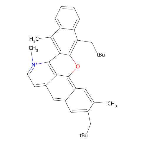 Cc1cc2c3c4c([n+](C)ccc4cc2cc1CC(C)(C)C)-c1c(c(CC(C)(C)C)c2ccccc2c1C)O3